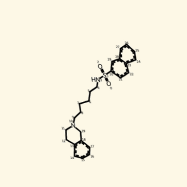 O=S(=O)(NCCCCCCN1CCc2ccccc2C1)c1ccc2ccccc2c1